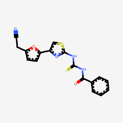 N#CCc1ccc(-c2csc(NC(=S)NC(=O)c3ccccc3)n2)o1